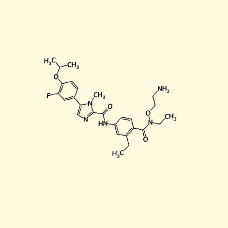 CCc1cc(NC(=O)c2ncc(-c3ccc(OC(C)C)c(F)c3)n2C)ccc1C(=O)N(CC)OCCN